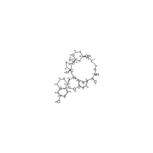 O=C1NSCCC[C@@]2(O)CCO[C@@H](C2)[C@@H]2CC[C@H]2CN2C[C@@]3(CCCc4cc(Cl)ccc43)COc3ccc1cc32